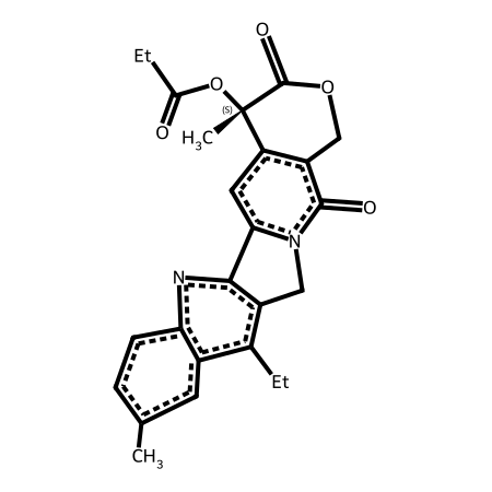 CCC(=O)O[C@]1(C)C(=O)OCc2c1cc1n(c2=O)Cc2c-1nc1ccc(C)cc1c2CC